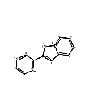 c1cncc(-c2cc3ccccc3[nH]2)c1